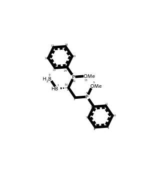 BB[C@@H](CP(OC)c1ccccc1)P(OC)c1ccccc1